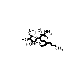 CCCCc1ccnc(C(C(C)C(N)=O)C2OC(SC)C(O)C(O)C2O)c1